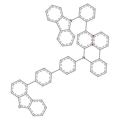 c1ccc(-c2ccccc2N(c2ccc(-c3ccc(-c4cccc5oc6ccccc6c45)cc3)cc2)c2ccc(-c3ccccc3-n3c4ccccc4c4ccccc43)cc2)cc1